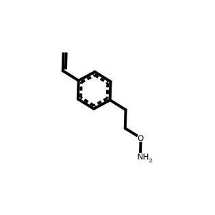 C=Cc1ccc(CCON)cc1